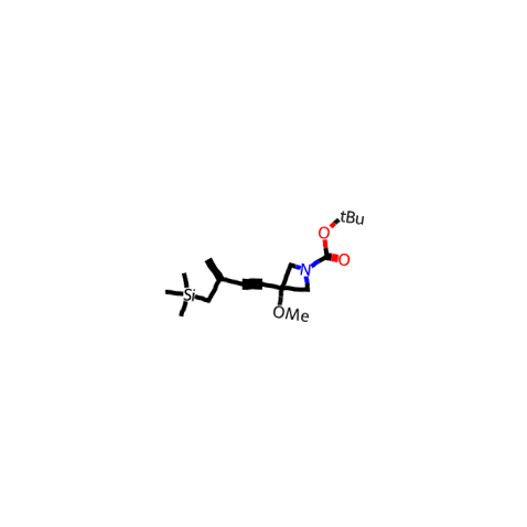 C=C(C#CC1(OC)CN(C(=O)OC(C)(C)C)C1)C[Si](C)(C)C